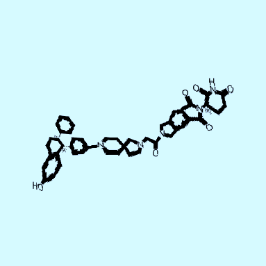 O=C1CC[C@@H](N2C(=O)c3cc4c(cc3C2=O)CN(C(=O)CN2CCC3(CCN(c5ccc([C@@H]6c7ccc(O)cc7CC[C@@H]6c6ccccc6)cc5)CC3)C2)C4)C(=O)N1